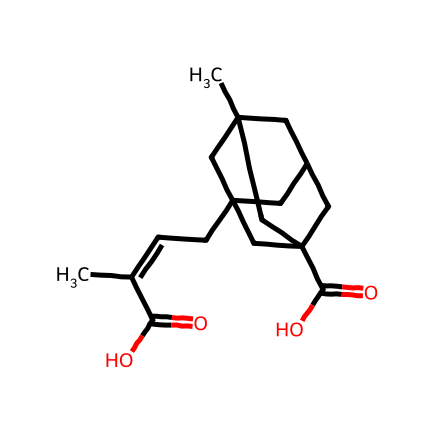 CC(=CCC12CC3CC(C)(C1)CC(C(=O)O)(C3)C2)C(=O)O